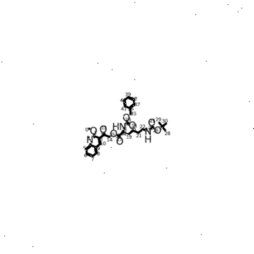 COc1nc2ccccc2cc1C(=O)COC(=O)[C@H](CCCCNC(=O)OC(C)(C)C)NC(=O)OCc1ccccc1